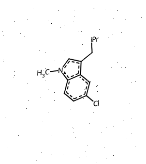 CC(C)Cc1cn(C)c2ccc(Cl)cc12